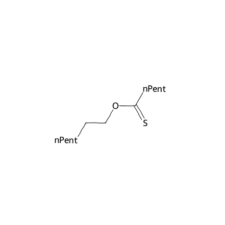 CCCCCCCOC(=S)CCCCC